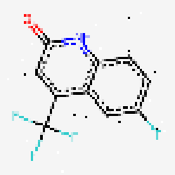 O=c1cc(C(F)(F)F)c2cc(F)ccc2[nH]1